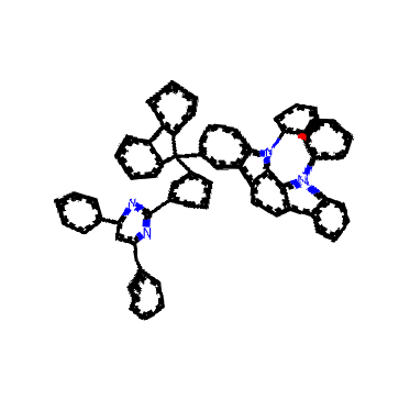 c1ccc(-c2cc(-c3ccccc3)nc(-c3cccc(C4(c5ccc6c(c5)c5ccc7c8ccccc8n(-c8ccccc8)c7c5n6-c5ccccc5)c5ccccc5-c5ccccc54)c3)n2)cc1